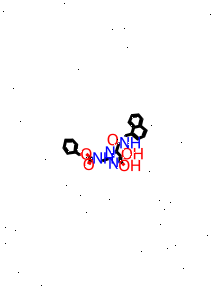 O=C(NCc1nc(O)c(O)c(C(=O)NCc2cccc3ccccc23)n1)OCc1ccccc1